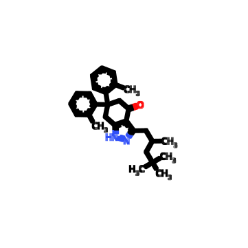 Cc1ccccc1C1(c2ccccc2C)CC(=O)c2c(CC(C)CC(C)(C)C)n[nH]c2C1